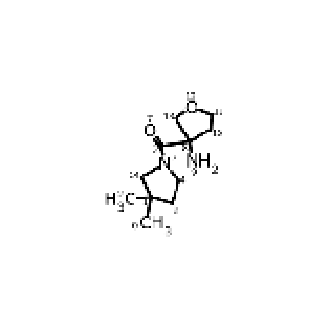 CC1(C)CCN(C(=O)C2(N)CCOC2)C1